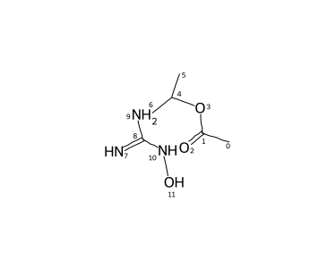 CC(=O)OC(C)C.N=C(N)NO